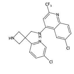 FC(F)(F)c1cc(NCC2(c3ccc(Cl)cn3)CNC2)c2cc(Cl)ccc2n1